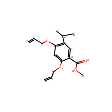 C=CCOc1cc(OCC=C)c(C(C)C)cc1C(=O)OC